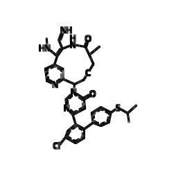 CN/C1=C(\C=N)NC(=O)C(C)CCCC(n2cnc(-c3cc(Cl)ccc3-c3ccc(SC(C)C)cc3)cc2=O)c2cc1ccn2